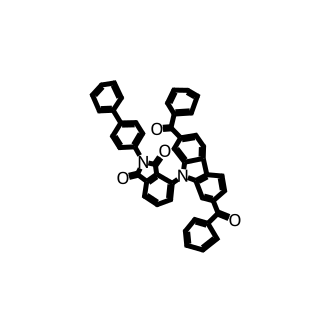 O=C(c1ccccc1)c1ccc2c3ccc(C(=O)c4ccccc4)cc3n(-c3cccc4c3C(=O)N(c3ccc(-c5ccccc5)cc3)C4=O)c2c1